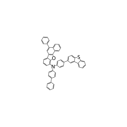 c1ccc(-c2ccc(N(c3ccc(-c4ccc5sc6ccccc6c5c4)cc3)c3cccc4c3oc3c5ccccc5c(-c5ccccc5)cc43)cc2)cc1